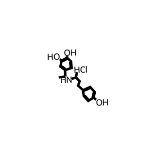 CC(CCc1ccc(O)cc1)NC(C)c1ccc(O)c(O)c1.Cl